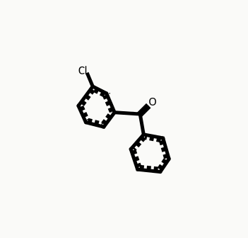 O=C(c1[c]c(Cl)ccc1)c1ccccc1